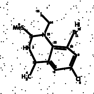 CSC1NC(C)c2cc(Cl)cc(Br)c2N1CI.I